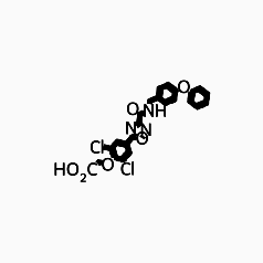 O=C(O)COc1c(Cl)cc(-c2nc(C(=O)NCc3ccc(Oc4ccccc4)cc3)no2)cc1Cl